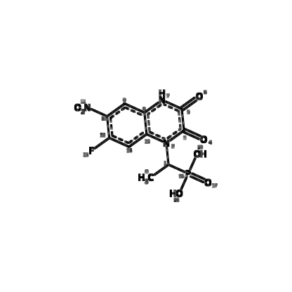 CC(n1c(=O)c(=O)[nH]c2cc([N+](=O)[O-])c(F)cc21)P(=O)(O)O